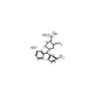 CC1CN(C(c2ccccc2)c2cccc(C(F)(F)F)c2)CCN1CC(=O)O.Cl.Cl